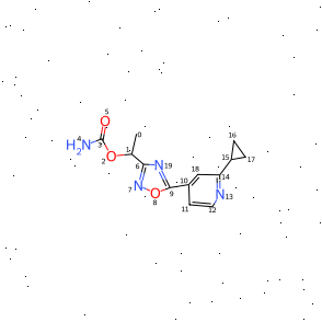 CC(OC(N)=O)c1noc(-c2ccnc(C3CC3)c2)n1